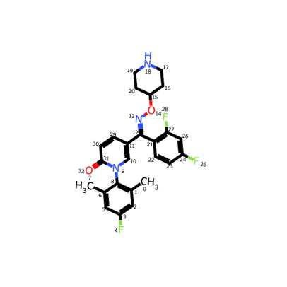 Cc1cc(F)cc(C)c1-n1cc(C(=NOC2CCNCC2)c2ccc(F)cc2F)ccc1=O